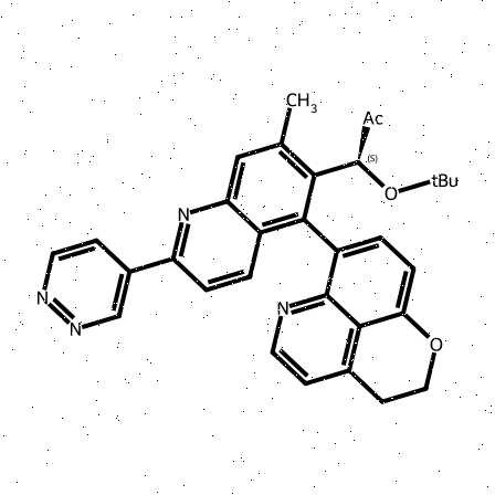 CC(=O)[C@@H](OC(C)(C)C)c1c(C)cc2nc(-c3ccnnc3)ccc2c1-c1ccc2c3c(ccnc13)CCO2